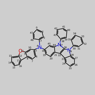 c1ccc(N(c2ccc3c(c2)oc2ccccc23)c2ccc3c4c5ccccc5n(-c5ccccc5)c4n(-c4ccccc4)c3c2)cc1